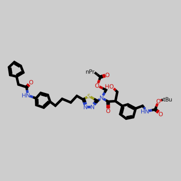 CCCC(=O)OCN(C(=O)C(CO)c1cccc(CNC(=O)OC(C)(C)C)c1)c1nnc(CCCCc2ccc(NC(=O)Cc3ccccc3)cc2)s1